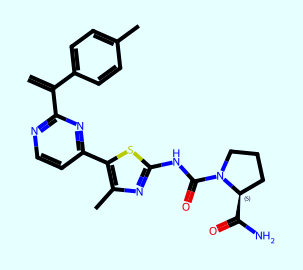 C=C(c1ccc(C)cc1)c1nccc(-c2sc(NC(=O)N3CCC[C@H]3C(N)=O)nc2C)n1